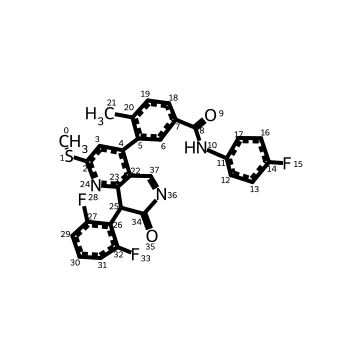 CSc1cc(-c2cc(C(=O)Nc3ccc(F)cc3)ccc2C)c2c(n1)C(c1c(F)cccc1F)C(=O)N=C2